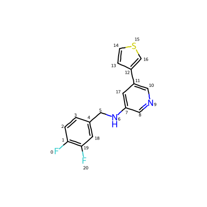 Fc1ccc(CNc2cncc(-c3ccsc3)c2)cc1F